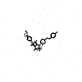 CCOc1ccc(-n2c(C)c3c(C)nnc(N4CCC(CCc5ccc(C)cc5)CC4)c3c2C)cc1